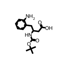 CC(C)(C)OC(=O)NC(CC(=O)O)Cc1ccccc1N